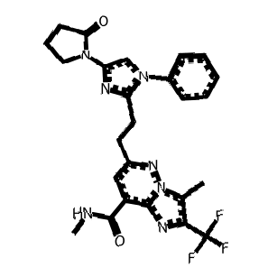 CNC(=O)c1cc(CCc2nc(N3CCCC3=O)cn2-c2ccccc2)nn2c(C)c(C(F)(F)F)nc12